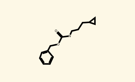 O=C([N]CCCC1CC1)OCc1ccccc1